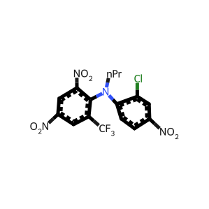 CCCN(c1ccc([N+](=O)[O-])cc1Cl)c1c([N+](=O)[O-])cc([N+](=O)[O-])cc1C(F)(F)F